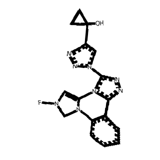 OC1(c2cn(-c3nnc4n3C3=CN(F)CN3c3ccccc3-4)nn2)CC1